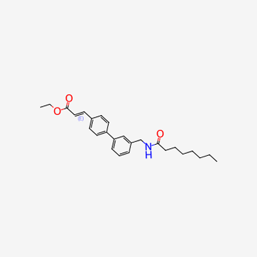 CCCCCCCC(=O)NCc1cccc(-c2ccc(/C=C/C(=O)OCC)cc2)c1